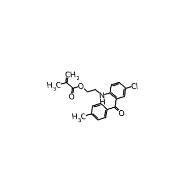 C=C(C)C(=O)OCCNc1ccc(Cl)cc1C(=O)c1ccc(C)cc1